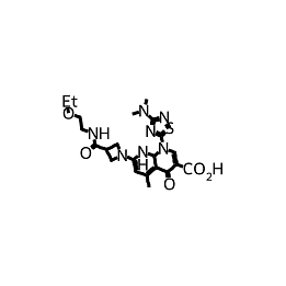 CCOCCNC(=O)C1CN(C2=CC(C)=C3C(=O)C(C(=O)O)=CN(c4nc(N(C)C)ns4)C3N2)C1